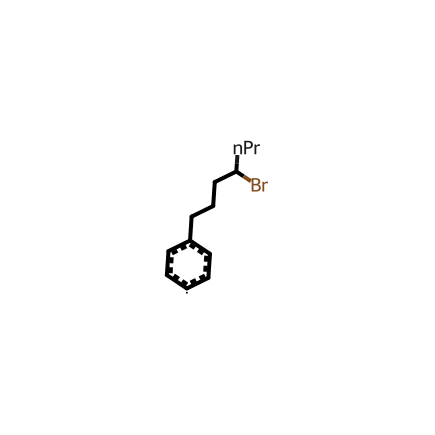 CCCC(Br)CCCc1cc[c]cc1